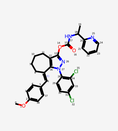 COc1ccc(/C=C2\CCCCc3c(OC(=O)NC(C)c4ccccn4)nn(-c4ccc(Cl)cc4Cl)c32)cc1